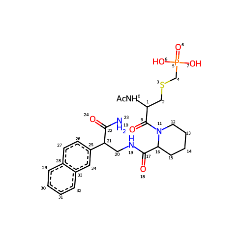 CC(=O)NC(CSCP(=O)(O)O)C(=O)N1CCCCC1C(=O)NCC(C(N)=O)c1ccc2ccccc2c1